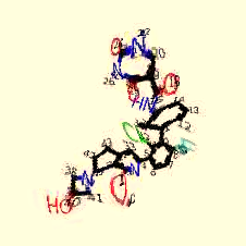 COc1nc(-c2ccc(F)c(-c3cccc(NC(=O)c4cn(C)c(=O)n(C)c4=O)c3C)c2Cl)cc2c1[C@H](N1CC(O)C1)CC2